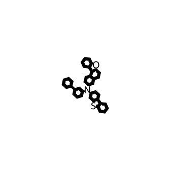 c1ccc(-c2cccc(N(c3ccc4c(ccc5oc6ccccc6c54)c3)c3ccc4c(c3)sc3ccccc34)c2)cc1